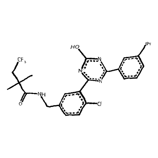 CC(C)c1cccc(-c2nc(O)nc(-c3cc(CNC(=O)C(C)(C)CC(F)(F)F)ccc3Cl)n2)c1